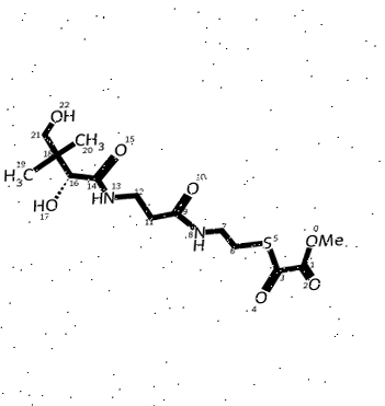 COC(=O)C(=O)SCCNC(=O)CCNC(=O)[C@H](O)C(C)(C)CO